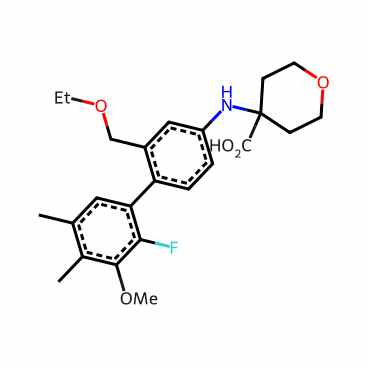 CCOCc1cc(NC2(C(=O)O)CCOCC2)ccc1-c1cc(C)c(C)c(OC)c1F